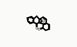 O=C1CC=CC2=C1C13OC1(C=C2)Cc1ccccc1C3=O